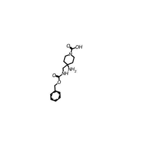 NC1(CNC(=O)OCc2ccccc2)CCN(C(=O)O)CC1